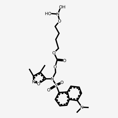 Cc1noc(N(COC(=O)OCCCCON(O)O)S(=O)(=O)c2cccc3c(N(C)C)cccc23)c1C